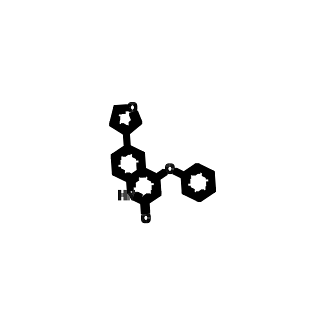 O=c1cc(Oc2ccccc2)c2cc(-c3ccoc3)ccc2[nH]1